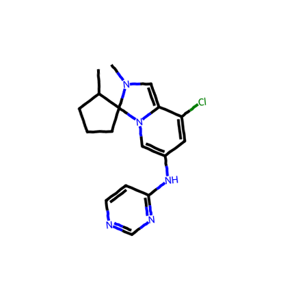 CC1CCCC12N(C)C=C1C(Cl)=CC(Nc3ccncn3)=CN12